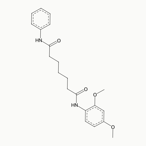 COc1ccc(NC(=O)CCCCCC(=O)Nc2ccccc2)c(OC)c1